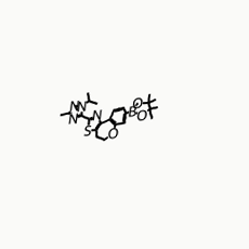 Cc1nc(-c2nc3c(s2)CCOc2cc(B4OC(C)(C)C(C)(C)O4)ccc2-3)n(C(C)C)n1